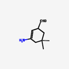 CC1(C)CC(N)=CC(C=O)C1